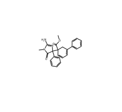 COC(=O)C1(C2(c3ccccc3)N=C(N)N(C)C2=O)C=CC=C(c2ccccc2)C1